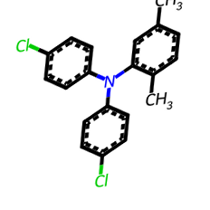 Cc1ccc(C)c(N(c2ccc(Cl)cc2)c2ccc(Cl)cc2)c1